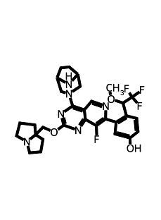 COC(c1ccc(O)cc1-c1ncc2c(N3CC4CCC(C3)N4)nc(OCC34CCCN3CCC4)nc2c1F)C(F)(F)F